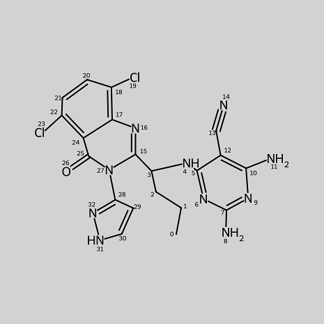 CCCC(Nc1nc(N)nc(N)c1C#N)c1nc2c(Cl)ccc(Cl)c2c(=O)n1-c1cc[nH]n1